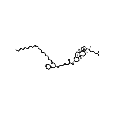 CCCCCCCC/C=C\CCCCCCCCOCC(CN1CCOCC1)OCCOCC(=O)O[C@H]1CC[C@@]2(C)C(=CC[C@H]3[C@@H]4CC[C@H]([C@H](C)CCCC(C)C)[C@@]4(C)CC[C@@H]32)C1